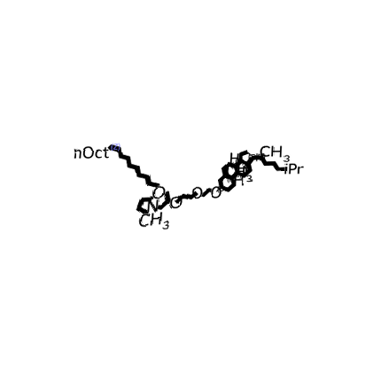 CCCCCCCC/C=C\CCCCCCCCOCC(CN1CCCC1C)OCCOCCO[C@H]1CC[C@@]2(C)C(=CC[C@H]3[C@@H]4CC[C@H]([C@H](C)CCCC(C)C)C4CC[C@@H]32)C1